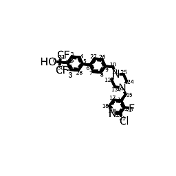 OC(c1ccc(-c2ccc(CN3CCN(Cc4ccnc(Cl)c4F)CC3)cc2)cc1)(C(F)(F)F)C(F)(F)F